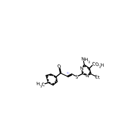 CCc1nc(S/C=C/C(=O)c2ccc(C)cc2)nc(N)c1C(=O)O